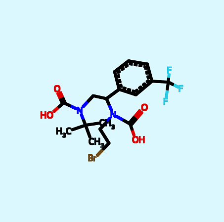 CC(C)(C)N(CC(c1cccc(C(F)(F)F)c1)N(CCBr)C(=O)O)C(=O)O